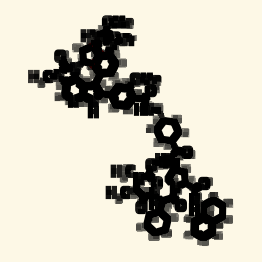 COC(=O)N[C@@H]1CC[C@@H](n2c(=O)n(C)c3cnc4[nH]c(-c5ccc(C(=O)NC[C@H]6CC[C@H](C(=O)N[C@H]7C[C@@H](C(=O)N[C@@H]8CCCc9ccccc98)N(C(=O)[C@@H](NC(=O)[C@H](C)N(C)C(=O)OC(C)(C)C)C8CCCCC8)C7)CC6)c(OC)c5)c(-c5ccc6c(cnn6C(C)C)c5)c4c32)C1